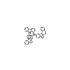 c1ccc(-n2c3ccccc3c3cccc(N(c4ccc5c(c4)oc4ccccc45)c4ccc5oc6ccc7ccccc7c6c5c4)c32)cc1